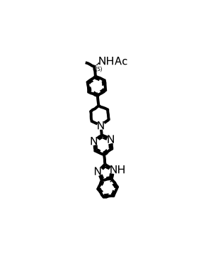 CC(=O)N[C@@H](C)c1ccc(C2CCN(c3ncc(-c4nc5ccccc5[nH]4)cn3)CC2)cc1